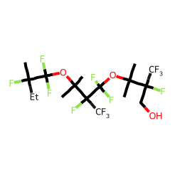 CCC(C)(F)C(F)(F)OC(C)(C)C(F)(C(F)(F)F)C(F)(F)OC(C)(C)C(F)(CO)C(F)(F)F